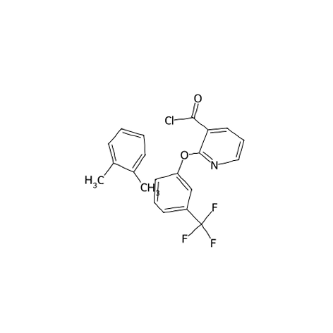 Cc1ccccc1C.O=C(Cl)c1cccnc1Oc1cccc(C(F)(F)F)c1